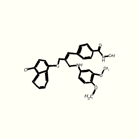 COc1ccc(NCC(=Cc2ccc(C(=O)NO)cc2)COc2ccc(Cl)c3ccccc23)cc1OC